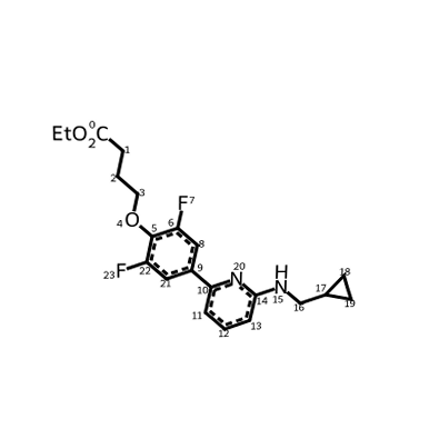 CCOC(=O)CCCOc1c(F)cc(-c2cccc(NCC3CC3)n2)cc1F